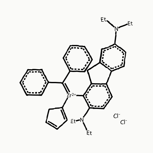 CCN(CC)c1ccc2c(c1)Cc1c-2ccc(N(CC)CC)[c]1[Zr+2]([C]1=CC=CC1)=[C](c1ccccc1)c1ccccc1.[Cl-].[Cl-]